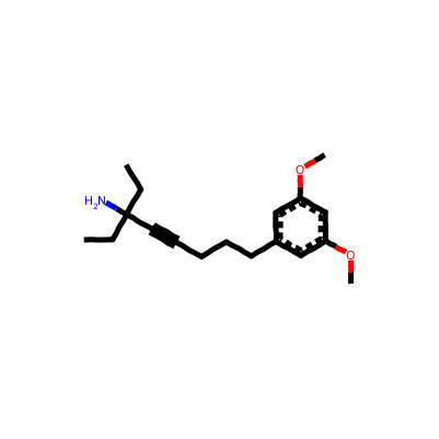 CCC(N)(C#CCCCc1cc(OC)cc(OC)c1)CC